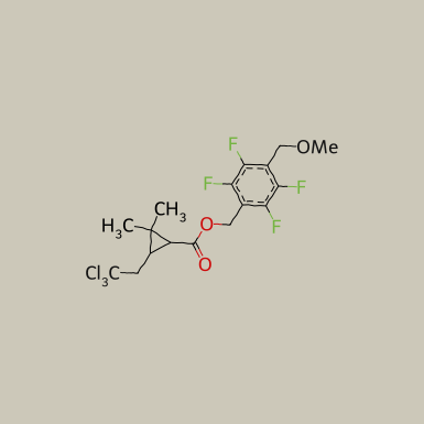 COCc1c(F)c(F)c(COC(=O)C2C(CC(Cl)(Cl)Cl)C2(C)C)c(F)c1F